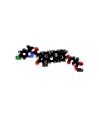 CC(C)C1=C2[C@H]3CC[C@@H]4[C@@]5(C)CC[C@H](OC(=O)CC(C)(C)C(=O)OC(C)(C)C)C(C)(C)[C@@H]5CC[C@@]4(C)[C@]3(C)CC[C@@]2(/C=C/C(=O)NC2(c3ccc(Cl)cc3)CC2)CC1=O